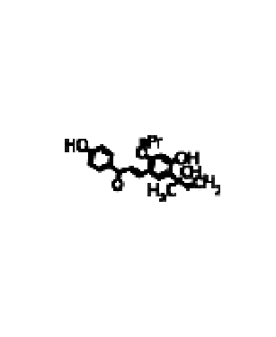 C=CC(C)(C)c1cc(C=CC(=O)c2ccc(O)cc2)c(OCCC)cc1O